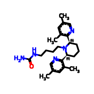 Cc1cnc([C@H]2CCC[C@@H](c3ncc(C)cc3C)N2CCCCNC(N)=O)c(C)c1